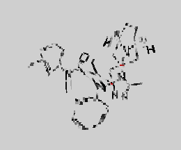 Cc1cccc(NC(=O)N(CCCN2[C@@H]3CC[C@H]2CC(n2c(C)nnc2C(C)C)C3)c2ccccc2)c1